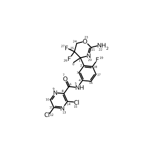 CC1(c2cc(NC(=O)c3ncc(Cl)nc3Cl)ccc2F)N=C(N)OCC1(F)F